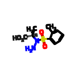 Cc1ccccc1S(=O)(=O)N(N)[C@@H](C)C(=O)O